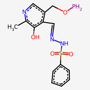 Cc1ncc(COP)c(C=NNS(=O)(=O)c2ccccc2)c1O